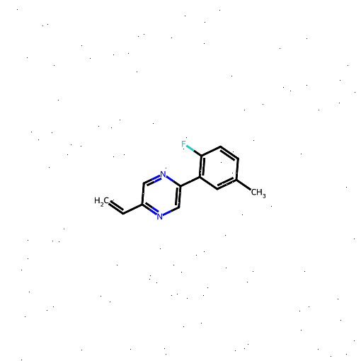 C=Cc1cnc(-c2cc(C)ccc2F)cn1